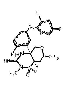 C[C@H]1C[C@@H]2[C@](c3cc(Oc4ncc(F)cc4F)ccc3F)(CO1)NC(=N)N(C)S2(=O)=O